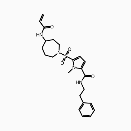 C=CC(=O)NC1CCCN(S(=O)(=O)c2ccc(C(=O)NCCc3ccccc3)n2C)CC1